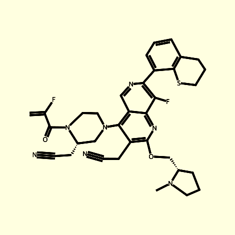 C=C(F)C(=O)N1CCN(c2c(CC#N)c(OC[C@@H]3CCCN3C)nc3c(F)c(-c4cccc5c4SCCC5)ncc23)C[C@@H]1CC#N